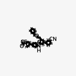 N#Cc1cccc(N(CC=CCOCc2ccccc2)CC(=O)Nc2ccc(C3CCN(C(=O)C(F)(F)F)CC3)cc2)c1